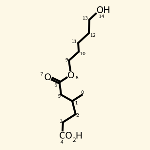 CC(CCC(=O)O)CC(=O)OCCCCCO